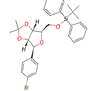 CC1(C)O[C@@H]2[C@H](O1)[C@@H](CO[Si](c1ccccc1)(c1ccccc1)C(C)(C)C)O[C@H]2c1ccc(Br)cc1